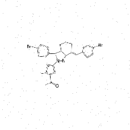 CC(=O)c1sc(N2N=C3/C(=C/c4ccc(Br)cc4)CCCC3C2c2ccc(Br)cc2)nc1C